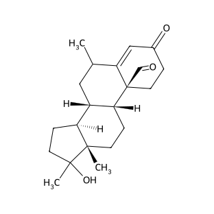 CC1C[C@@H]2[C@@H](CC[C@@]3(C)[C@H]2CCC3(C)O)[C@@]2(C=O)CCC(=O)C=C12